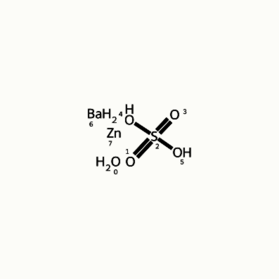 O.O=S(=O)(O)O.[BaH2].[Zn]